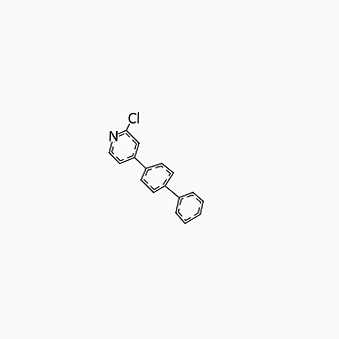 Clc1cc(-c2ccc(-c3ccccc3)cc2)ccn1